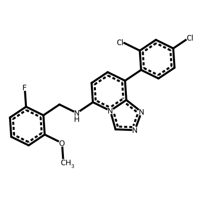 COc1cccc(F)c1CNc1ccc(-c2ccc(Cl)cc2Cl)c2nncn12